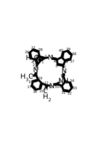 C=c1c2nc3cc(nc4[nH]c(nc(=C)c5ccccc5c(C)nc1=c1ccccc1=2)C1C=CC=CC41)-c1ccccc1-3